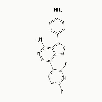 Nc1ccc(-c2csc3c(-c4ccc(F)nc4F)cnc(N)c23)cc1